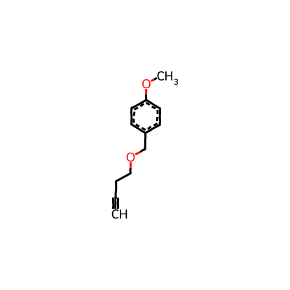 C#CCCOCc1ccc(OC)cc1